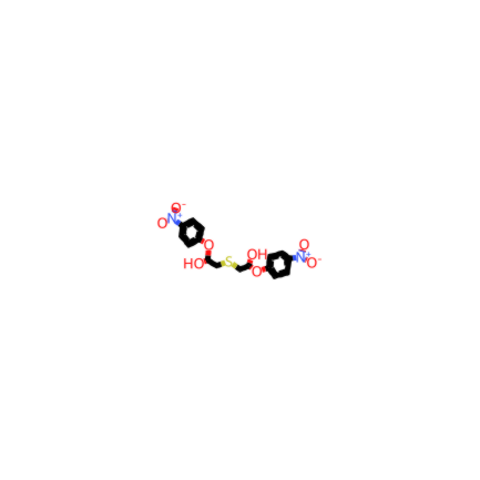 O=[N+]([O-])c1ccc(OC(O)CSCC(O)Oc2ccc([N+](=O)[O-])cc2)cc1